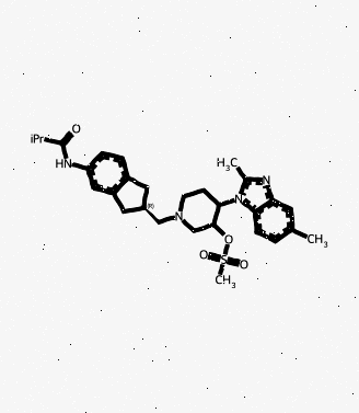 Cc1ccc2c(c1)nc(C)n2C1CCN(C[C@@H]2Cc3ccc(NC(=O)C(C)C)cc3C2)CC1OS(C)(=O)=O